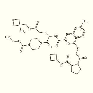 CCOC(=O)N1CCN(C(=O)[C@H](CCC(=O)OCC2(C)COC2)NC(=O)c2cc(OCC(=O)N3CCC[C@H]3C(=O)NC3CCC3)c3ccc(C)cc3n2)CC1